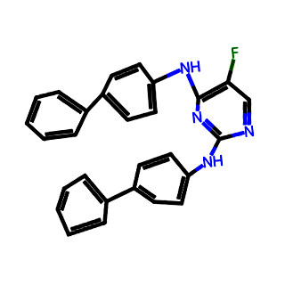 Fc1cnc(Nc2ccc(-c3ccccc3)cc2)nc1Nc1ccc(-c2ccccc2)cc1